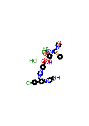 CC1(CN2CCC3(CC2)CNC3)CCC(c2ccc(Cl)cc2)=C(CN2CCN(c3ccc(C(=O)NS(=O)(=O)c4ccc(NC(CCN5CCOCC5)CSc5ccccc5)c(S(=O)(=O)C(F)(F)F)c4)cc3)CC2)C1.Cl